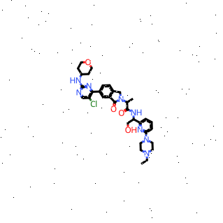 CCN1CCN(c2cccc(C(CO)NC(=O)C(C)N3Cc4ccc(-c5nc(NC6CCOCC6)ncc5Cl)cc4C3=O)n2)CC1